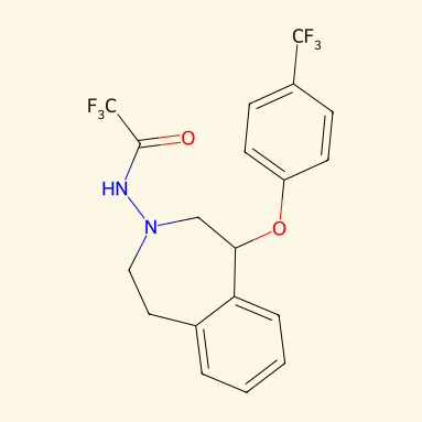 O=C(NN1CCc2ccccc2C(Oc2ccc(C(F)(F)F)cc2)C1)C(F)(F)F